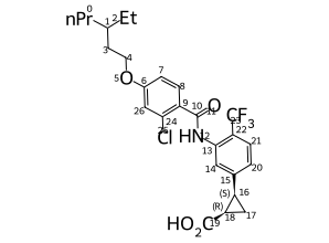 CCCC(CC)CCOc1ccc(C(=O)Nc2cc([C@H]3C[C@H]3C(=O)O)ccc2C(F)(F)F)c(Cl)c1